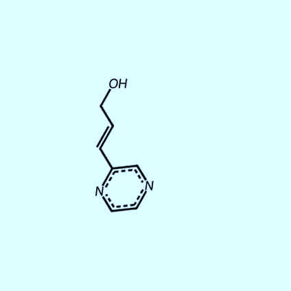 OCC=Cc1cnccn1